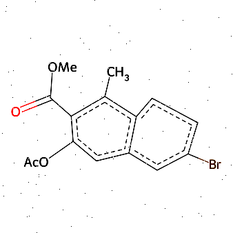 COC(=O)c1c(OC(C)=O)cc2cc(Br)ccc2c1C